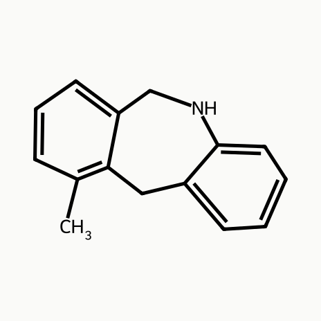 Cc1cccc2c1Cc1ccccc1NC2